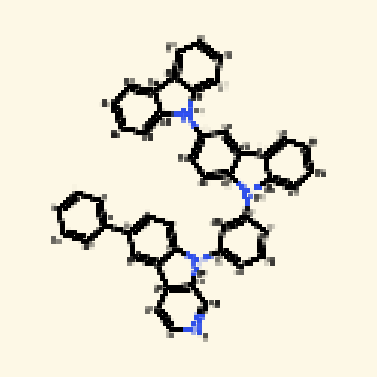 c1ccc(-c2ccc3c(c2)c2ccncc2n3-c2cccc(-n3c4ccccc4c4cc(-n5c6ccccc6c6ccccc65)ccc43)c2)cc1